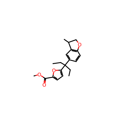 CCC(CC)(c1ccc2c(c1)C(C)CO2)c1ccc(C(=O)OC)o1